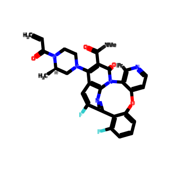 C=CC(=O)N1CCN(c2c(C(=O)NC)c(=O)n3c4nc(c(F)cc24)c2c(F)cccc2oc2ccnc(C(C)C)c23)C[C@H]1C